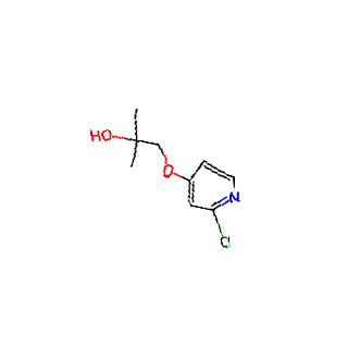 CC(C)(O)COc1ccnc(Cl)c1